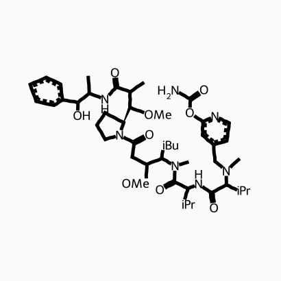 CCC(C)C(C(CC(=O)N1CCC[C@H]1C(OC)C(C)C(=O)NC(C)C(O)c1ccccc1)OC)N(C)C(=O)C(NC(=O)C(C(C)C)N(C)Cc1ccnc(OC(N)=O)c1)C(C)C